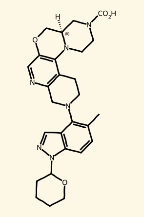 Cc1ccc2c(cnn2C2CCCCO2)c1N1CCc2c(ncc3c2N2CCN(C(=O)O)C[C@@H]2CO3)C1